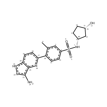 Cc1cc(S(=O)(=O)N[C@@H]2CC[C@H](O)C2)ccc1-c1ccc2[nH]nc(N)c2n1